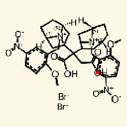 COc1ccc([N+](=O)[O-])cc1C[N+]1(C)[C@@H]2CC[C@H]1CC(C(CC(=O)O)(C(=O)O)C1C[C@H]3CC[C@@H](C1)[N+]3(C)Cc1cc([N+](=O)[O-])ccc1OC)C2.[Br-].[Br-]